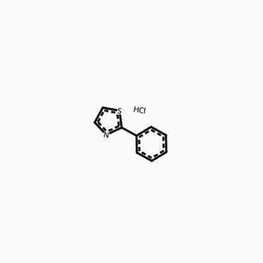 Cl.c1ccc(-c2nccs2)cc1